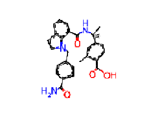 Cc1cc([C@H](C)NC(=O)c2cccc3ccn(Cc4ccc(C(N)=O)cc4)c23)ccc1C(=O)O